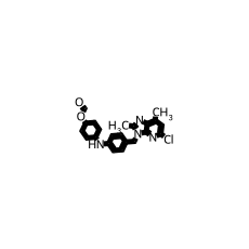 Cc1cc(Cl)nc2c1nc(C)n2Cc1ccc(NC2CCC(OC=O)CC2)cc1